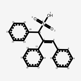 O=S(=O)(O)C(C(=Cc1ccccc1)c1ccccc1)c1ccccc1